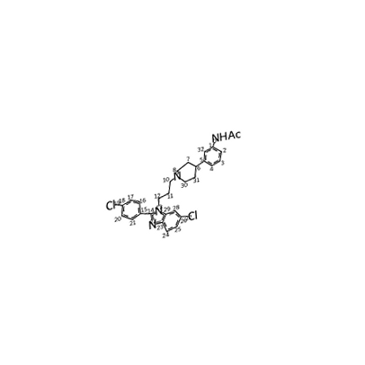 CC(=O)Nc1cccc(C2CCN(CCCn3c(-c4ccc(Cl)cc4)nc4ccc(Cl)cc43)CC2)c1